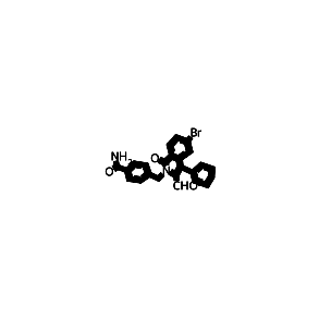 NC(=O)c1ccc(Cn2c([C]=O)c(-c3ccccc3)c3cc(Br)ccc3c2=O)cc1